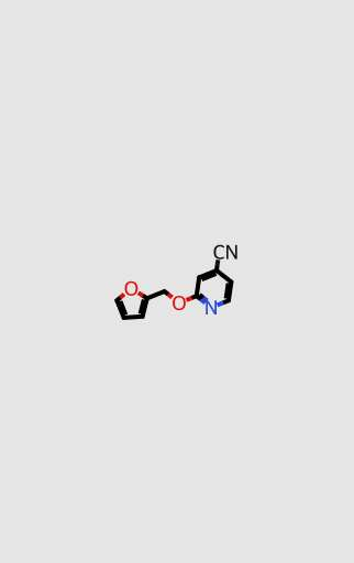 N#Cc1ccnc(OCc2ccco2)c1